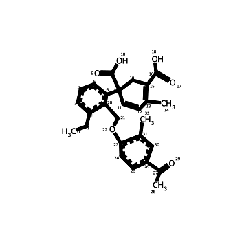 CCc1cccc(C2(C(=O)O)C=CC(C)=C(C(=O)O)C2)c1COc1ccc(C(C)=O)cc1C